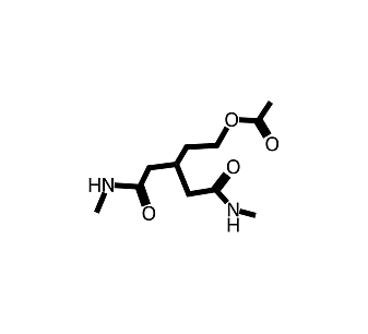 CNC(=O)CC(CCOC(C)=O)CC(=O)NC